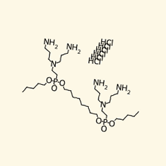 CCCCCOP(=O)(CCN(CCCN)CCCN)OCCCCCCCCOP(=O)(CCN(CCCN)CCCN)OCCCCC.Cl.Cl.Cl.Cl.Cl.Cl